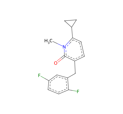 Cn1c(C2CC2)ccc(Cc2cc(F)ccc2F)c1=O